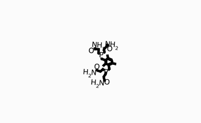 Cc1cc(C)c(CP(CCC(N)=O)CCC(N)=O)c(C)c1CP(CCC(N)=O)CCC(N)=O